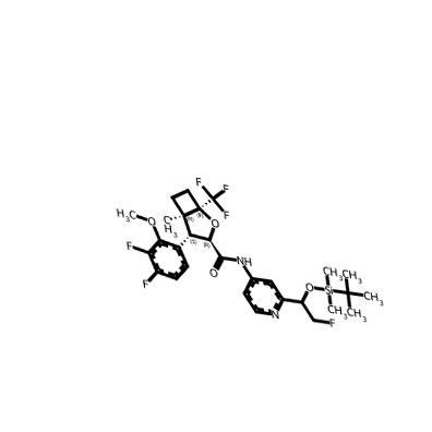 COc1c([C@H]2[C@H](C(=O)Nc3ccnc(C(CF)O[Si](C)(C)C(C)(C)C)c3)O[C@]3(C(F)(F)F)CC[C@]23C)ccc(F)c1F